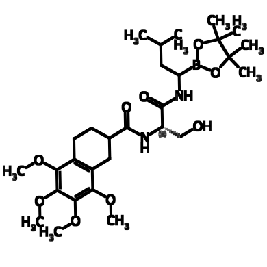 COc1c2c(c(OC)c(OC)c1OC)CC(C(=O)N[C@@H](CO)C(=O)NC(CC(C)C)B1OC(C)(C)C(C)(C)O1)CC2